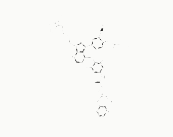 CC(C)Oc1ccc(-c2cn(COCC[Si](C)(C)C)c3nccc(Oc4c(F)cc(NC(=S)NC[C@H](CO)Cc5cccnc5)cc4F)c23)cc1C#N